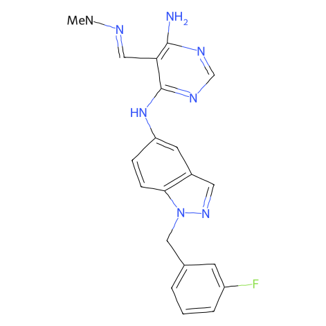 CN/N=C/c1c(N)ncnc1Nc1ccc2c(cnn2Cc2cccc(F)c2)c1